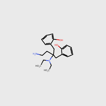 NCCC(Cc1ccccc1O)(Cc1ccccc1O)N(CC(=O)O)CC(=O)O